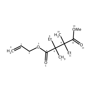 C=CCOC(=O)C(C)(CC)C(C)(CC)C(=O)OC